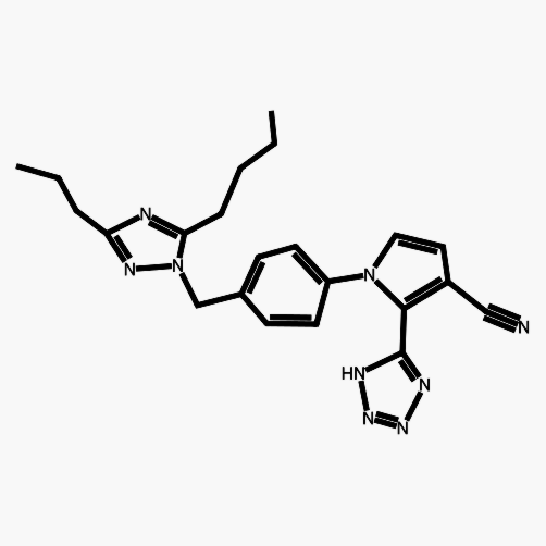 CCCCc1nc(CCC)nn1Cc1ccc(-n2ccc(C#N)c2-c2nnn[nH]2)cc1